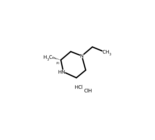 CCN1CCN[C@H](C)C1.Cl.Cl